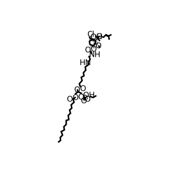 CCCCCCCCCCCCCCCCC(=O)OCC(COP(=O)(O)OCCC)OC(=O)CCCCCCCCNCCNC(=O)O[C@@H]1CC[C@](O)(CCl)[C@@H](C(C)(C)OCC=C(C)C)[C@@H]1OC